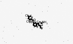 C[C@@]1(c2cc(NC(=O)c3ncc(Cl)cc3C#N)ccc2F)C=C(CF)OC(N)=N1